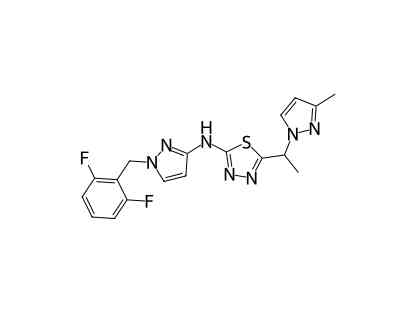 Cc1ccn(C(C)c2nnc(Nc3ccn(Cc4c(F)cccc4F)n3)s2)n1